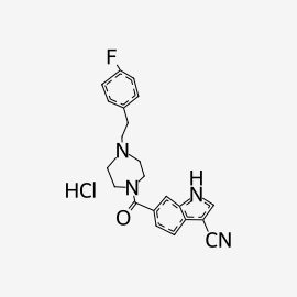 Cl.N#Cc1c[nH]c2cc(C(=O)N3CCN(CCc4ccc(F)cc4)CC3)ccc12